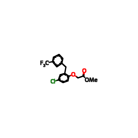 COC(=O)COc1ccc(Cl)cc1Cc1cccc(C(F)(F)F)c1